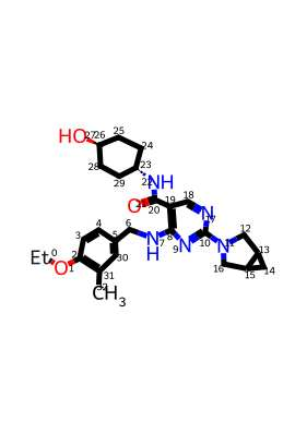 CCOc1ccc(CNc2nc(N3CC4CC4C3)ncc2C(=O)N[C@H]2CC[C@H](O)CC2)cc1C